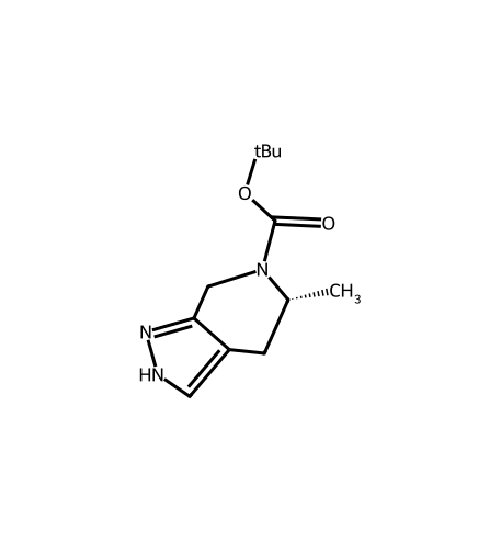 C[C@@H]1Cc2c[nH]nc2CN1C(=O)OC(C)(C)C